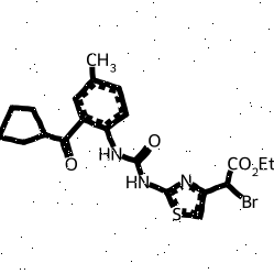 CCOC(=O)C(Br)c1csc(NC(=O)Nc2ccc(C)cc2C(=O)C2CCCC2)n1